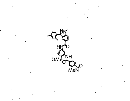 CNC(=O)c1ccc(C(=O)Nc2cc(NC(=O)c3ccc4c(c3)c(-c3ccc(C)cc3C)nn4C)ccc2OC)cc1